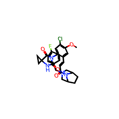 COc1cc(/C=C/C(=O)N2C3CCC2CN(Cc2ccc(F)cc2)C3)c(N2C(=O)NC3(CC3)C2=O)cc1Cl